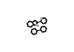 c1ccc(-c2cc3ccccc3[se]2)nc1.c1ccc(-c2ccccc2)cc1